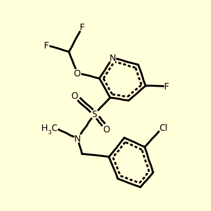 CN(Cc1cccc(Cl)c1)S(=O)(=O)c1cc(F)cnc1OC(F)F